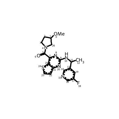 COC1CCN(C(=O)c2nc(NC(C)c3cncc(F)c3)nc3ccsc23)C1